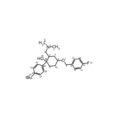 CN(C)CC1CC(OCc2ccc(F)cc2)CCC1(O)c1ccc(C(C)(C)C)cc1